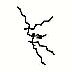 CBC[C@@H](CC(C)(CCCCCC)CCCCCC)C(C)(CCCCCC)CCCCCC